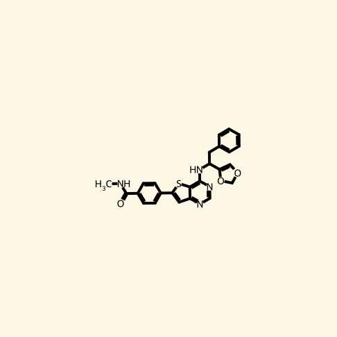 CNC(=O)c1ccc(-c2cc3ncnc(NC(Cc4ccccc4)C4=COCO4)c3s2)cc1